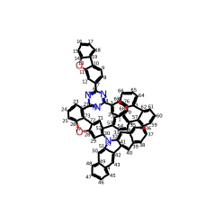 c1ccc(-c2nc(-c3ccc4c(c3)oc3ccccc34)nc(-c3cccc4oc5cc(-n6c7cc8ccccc8cc7c7cc8ccccc8cc76)c(-c6ccc(-c7ccccc7-c7ccccc7)cc6)cc5c34)n2)cc1